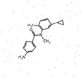 Cc1ccc(C2CC2)cc1N(C)C(=O)c1ccc(N)cc1